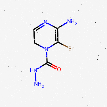 NNC(=O)N1CC=NC(N)=C1Br